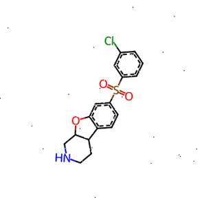 O=S(=O)(c1cccc(Cl)c1)c1ccc2c(c1)OC1CNCCC21